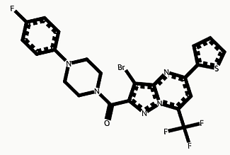 O=C(c1nn2c(C(F)(F)F)cc(-c3cccs3)nc2c1Br)N1CCN(c2ccc(F)cc2)CC1